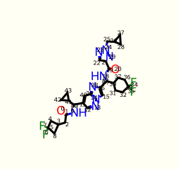 O=C(CC1CC(F)(F)C1)N[C@@H](c1cnn2cc([C@@H](NC(=O)c3cnn(CC4CC4)n3)C3CCC(F)(F)CC3)nc2c1)C1CC1